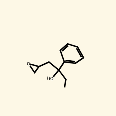 CCC(O)(CC1CO1)c1ccccc1